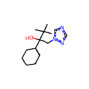 CC(C)(C)C(O)(Cn1cncn1)C1CCCCC1